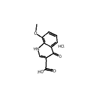 COc1cccc2c(=O)c(C(=O)O)c[nH]c12.Cl